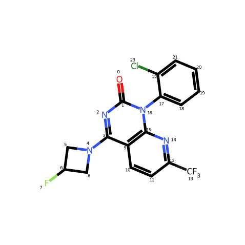 O=c1nc(N2CC(F)C2)c2ccc(C(F)(F)F)nc2n1-c1ccccc1Cl